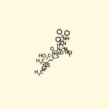 CCO/N=C(\C(=O)N[C@@H]1C(=O)N2C(C(=O)O)=C(C=Cc3sc4cn(C)c[n+]4c3C)CS[C@H]12)c1csc(NC(c2ccccc2)(c2ccccc2)c2ccccc2)n1.[I-]